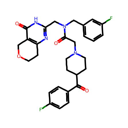 O=C(c1ccc(F)cc1)C1CCN(CC(=O)N(Cc2cccc(F)c2)Cc2nc3c(c(=O)[nH]2)COCC3)CC1